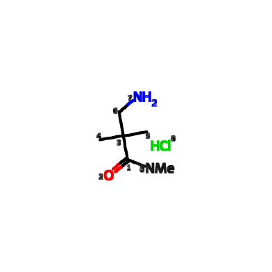 CNC(=O)C(C)(C)CN.Cl